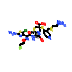 NCCSCc1cnccc1SC1(C(=O)O)CS[C@@H]2[C@H](NC(=O)C(=NOCCF)c3nc(N)sc3Cl)C(=O)N2C1